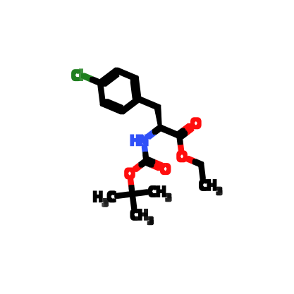 CCOC(=O)[C@H](Cc1ccc(Cl)cc1)NC(=O)OC(C)(C)C